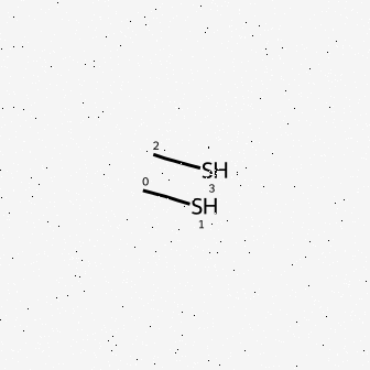 CS.CS